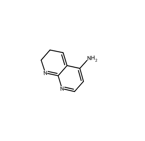 Nc1ccnc2c1=CCCN=2